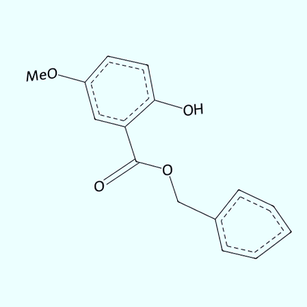 COc1ccc(O)c(C(=O)OCc2ccccc2)c1